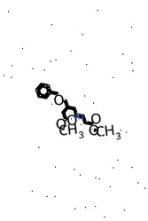 COC(=O)C/C=C/CC(COCc1ccccc1)CC(=O)OC